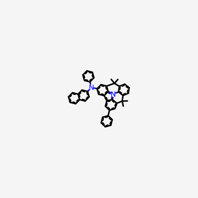 CC1(C)c2cccc3c2-n2c4c1cc(-c1ccccc1)cc4c1cc(N(c4ccccc4)c4ccc5ccccc5c4)cc(c12)C3(C)C